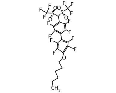 CCCCCCOc1c(F)c(F)c(-c2c(F)c(F)c(C(S(=O)(=O)C(F)(F)F)S(=O)(=O)C(F)(F)F)c(F)c2F)c(F)c1F